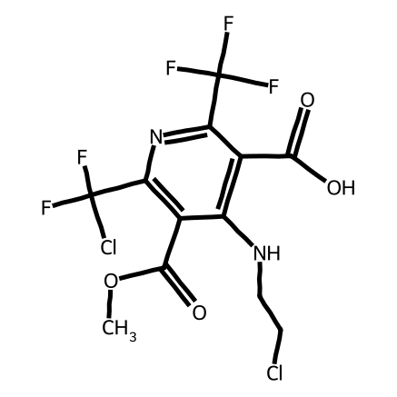 COC(=O)c1c(C(F)(F)Cl)nc(C(F)(F)F)c(C(=O)O)c1NCCCl